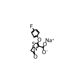 O=C([O-])C1=C(Oc2ccc(F)cc2)SC2CC(=O)N12.[Na+]